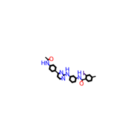 CC(=O)Nc1ccc(-c2ccnc(Nc3cccc(NC(=O)c4ccc(C)cc4I)c3)n2)cc1